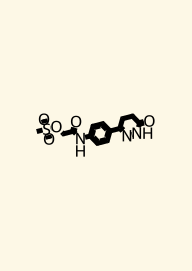 CS(=O)(=O)OCC(=O)Nc1ccc(C2=NNC(=O)CC2)cc1